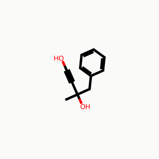 CC(O)(C#CO)Cc1ccccc1